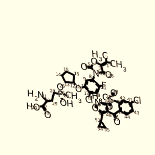 CC(C)=C1OC(=O)N(c2cc(OC3CCCC3)c(Cl)cc2F)C1=O.CP(=O)(O)CCC(N)C(=O)O.CS(=O)(=O)c1cc(Cl)ccc1C(=O)c1cnoc1C1CC1